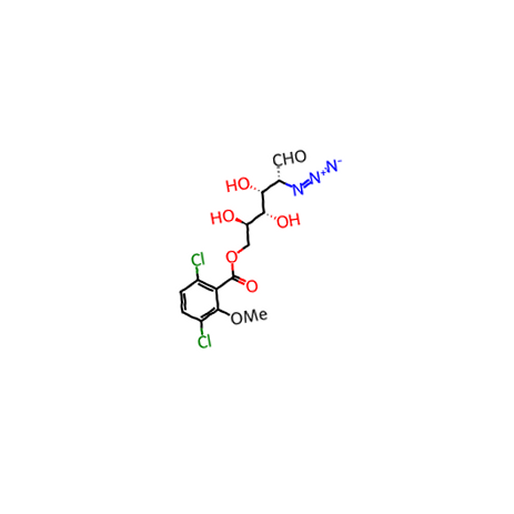 COc1c(Cl)ccc(Cl)c1C(=O)OC[C@@H](O)[C@@H](O)[C@H](O)[C@H](C=O)N=[N+]=[N-]